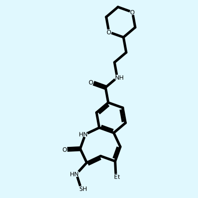 CCC1=C/c2ccc(C(=O)NCCC3COCCO3)cc2NC(=O)\C(NS)=C\1